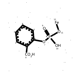 O=C(O)c1ccccc1OP(=O)(O)[O][Fe]